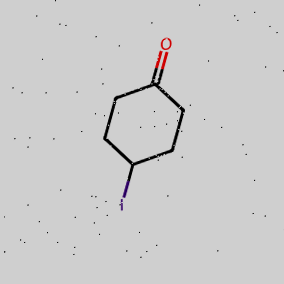 O=C1CCC(I)CC1